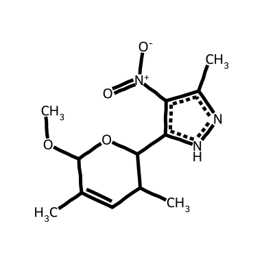 COC1OC(c2[nH]nc(C)c2[N+](=O)[O-])C(C)C=C1C